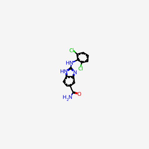 NC(=O)c1ccc2[nH]c(Nc3c(Cl)cccc3Cl)nc2c1